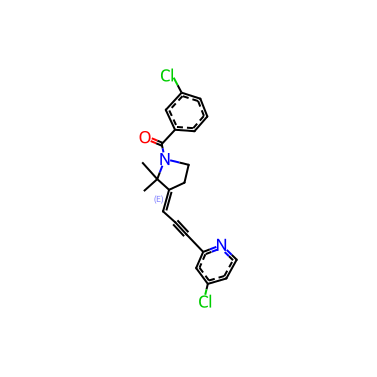 CC1(C)/C(=C/C#Cc2cc(Cl)ccn2)CCN1C(=O)c1cccc(Cl)c1